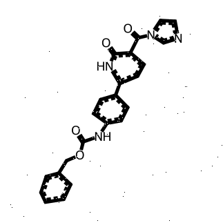 O=C(Nc1ccc(-c2ccc(C(=O)n3ccnc3)c(=O)[nH]2)cc1)OCc1ccccc1